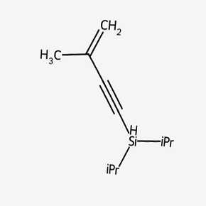 C=C(C)C#C[SiH](C(C)C)C(C)C